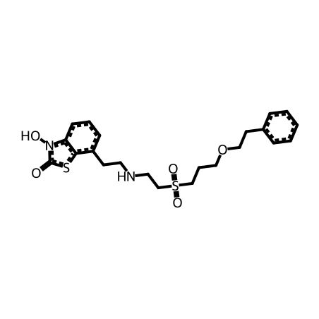 O=c1sc2c(CCNCCS(=O)(=O)CCCOCCc3ccccc3)cccc2n1O